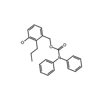 CCCc1c([O])cccc1COC(=O)N(c1ccccc1)c1ccccc1